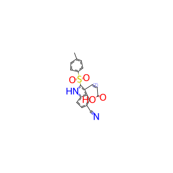 Cc1ccc(S(=O)(=O)c2[nH]c3ccc(C#N)cc3c2/C=C\C(=O)O)cc1